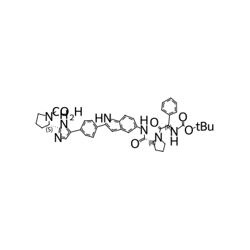 CC(C)(C)OC(=O)N[C@@H](C(=O)N1CCC[C@@H]1C(=O)Nc1ccc2[nH]c(-c3ccc(-c4cnc([C@@H]5CCCN5C(=O)O)[nH]4)cc3)cc2c1)c1ccccc1